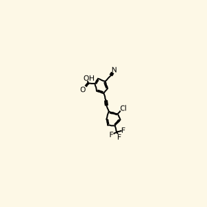 N#Cc1cc(C#Cc2ccc(C(F)(F)F)cc2Cl)cc(C(=O)O)c1